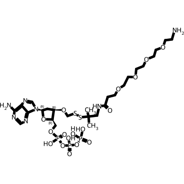 CC(C)(CNC(=O)CCOCCOCCOCCOCCN)SSCO[C@@H]1C[C@H](n2cnc3c(N)ncnc32)O[C@@H]1COP(=O)(O)OP(=O)(O)OP(=O)(O)O